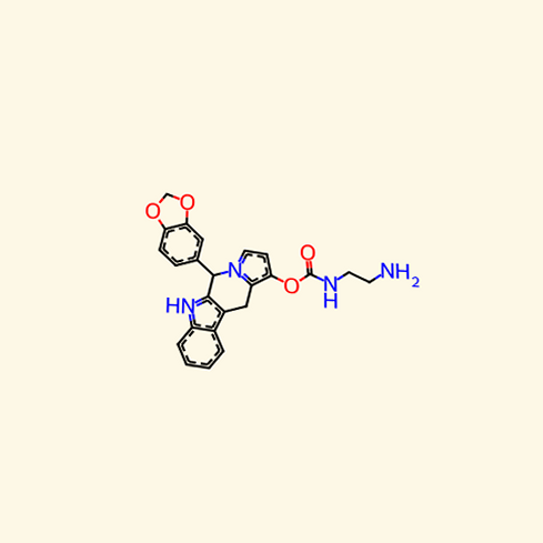 NCCNC(=O)Oc1ccn2c1Cc1c([nH]c3ccccc13)C2c1ccc2c(c1)OCO2